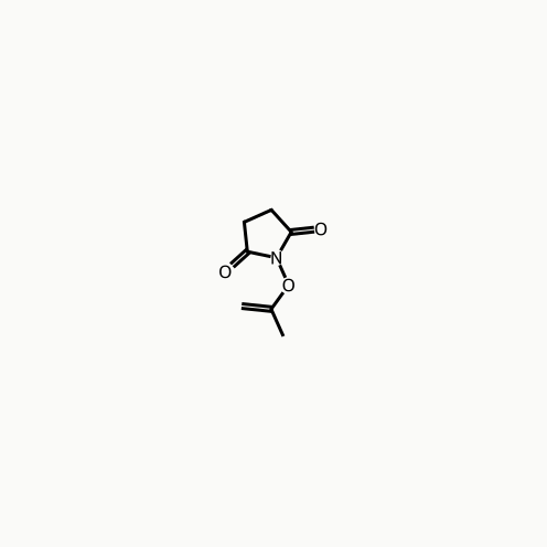 C=C(C)ON1C(=O)CCC1=O